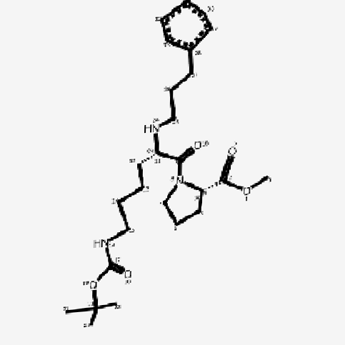 COC(=O)[C@@H]1CCCN1C(=O)[C@H](CCCCNC(=O)OC(C)(C)C)NCCCc1ccccc1